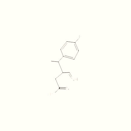 CCCC(=N)CC(C=N)C(C)c1ccc(Br)cc1